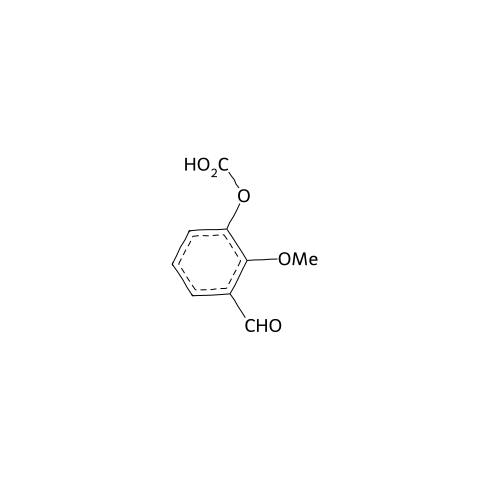 COc1c(C=O)cccc1OC(=O)O